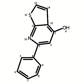 Oc1cc(-c2ccccc2)nc2sccc12